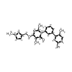 Cc1cnc(C(C)C)nc1-c1cccc(-n2c(C)nc(OCc3ccn(C)n3)c(C)c2=O)c1